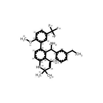 CCc1cccc(C(N)c2c(-c3cc(C(F)(F)F)ccc3OC)ccc3c2C(C)=CC(C)(C)N3)c1